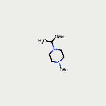 CCCCN1CCN(C(C)OC)CC1